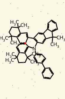 CC1(C)CCC(C)(C)c2cc(-c3cc4c(cc3N(c3ccc(-c5ccccc5)cc3)c3cccc5c3C(C)(C)CCC5(C)C)C(C)(C)c3ccccc3-4)ccc21